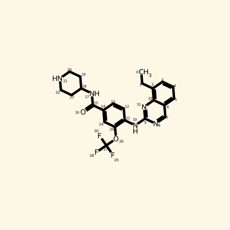 CCc1cccc2cnc(Nc3ccc(C(=O)NC4CCNCC4)cc3OC(F)(F)F)nc12